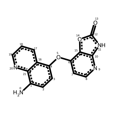 Nc1ccc(Oc2ccnc3[nH]c(=O)oc23)c2cccnc12